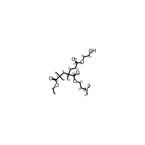 CCOC(=O)C(C)(C)CC(C)(CCC(=O)OCCO)C(=O)OCCN(C)C